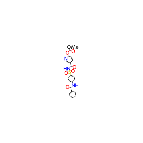 COC(=O)Oc1ccc(C(=O)NS(=O)(=O)c2ccc(NC(=O)c3ccccc3)cc2)cn1